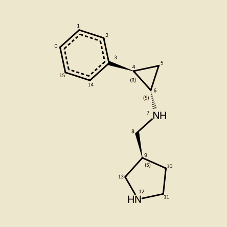 c1ccc([C@H]2C[C@@H]2NC[C@H]2CCNC2)cc1